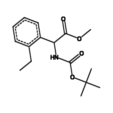 CCc1ccccc1C(NC(=O)OC(C)(C)C)C(=O)OC